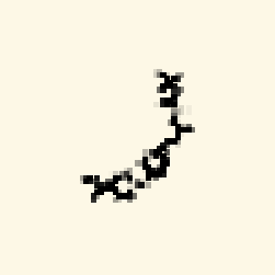 C=C(CNC(=O)OC(C)(C)C)COc1ccc(SN2CCC(C(=O)OC)CC2)cn1